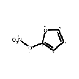 O=[N+]([O-])Oc1ccco1